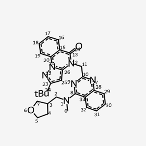 CN(CC1CCOC1)c1nc(Cn2c(=O)c3ccccc3n3nc(C(C)(C)C)cc23)nc2ccccc12